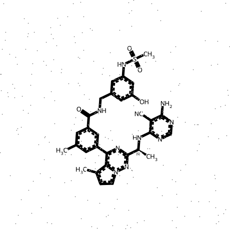 Cc1cc(C(=O)NCc2cc(O)cc(NS(C)(=O)=O)c2)cc(-c2nc([C@H](C)Nc3ncnc(N)c3C#N)nn3ccc(C)c23)c1